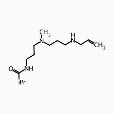 C=CCNCCCN(C)CCCNC(=O)C(C)C